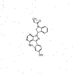 C=CC(=O)N1CC(n2nc(-c3ccc(O)cc3)c3c(N)ncnc32)c2ccccc21